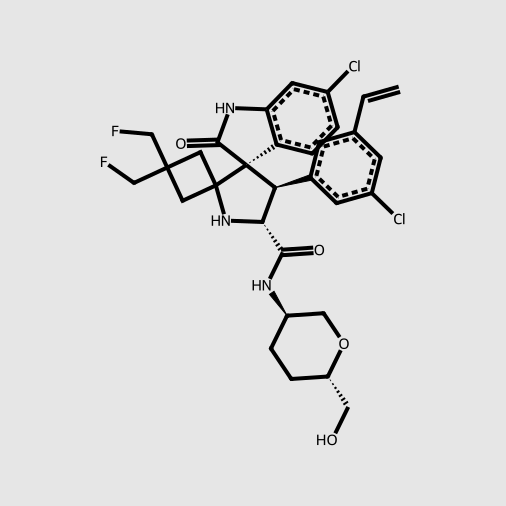 C=Cc1cc(Cl)cc([C@H]2[C@H](C(=O)N[C@@H]3CC[C@@H](CO)OC3)NC3(CC(CF)(CF)C3)[C@@]23C(=O)Nc2cc(Cl)ccc23)c1